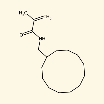 C=C(C)C(=O)NCC1CCCCCCCCCCC1